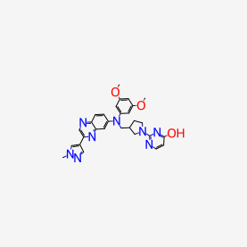 COc1cc(OC)cc(N(CC2CCN(c3nccc(O)n3)C2)c2ccc3ncc(-c4cnn(C)c4)nc3c2)c1